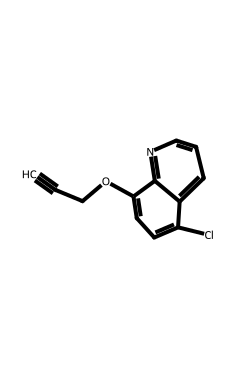 C#CCOc1ccc(Cl)c2cccnc12